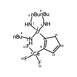 CCCC[NH][Zr]([NH]CCCC)([NH]CCCC)[C]1=[C]([Ge]([F])([F])[F])C=CC1